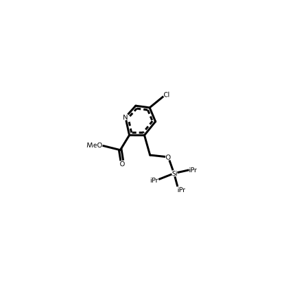 COC(=O)c1ncc(Cl)cc1CO[Si](C(C)C)(C(C)C)C(C)C